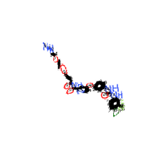 [N-]=[N+]=NCCOCCOCCC(=O)NC(=O)c1cc(Oc2ccc(NC(=O)Nc3ccc(Cl)c(C(F)(F)F)c3)cc2)ccn1